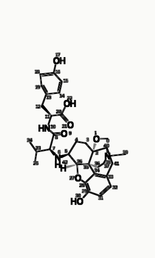 CO[C@@]12CC[C@H](N[C@H](C(=O)N[C@@H](Cc3ccc(O)cc3)C(=O)O)C(C)C)[C@@H]3Oc4c(O)ccc5c4[C@@]31CCN(C)C2C5